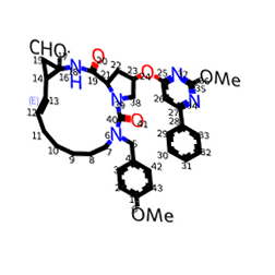 COc1ccc(CN2CCCCC/C=C/C3CC3([C]=O)NC(=O)C3CC(Oc4cc(-c5ccccc5)nc(OC)n4)CN3C2=O)cc1